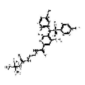 Cc1cc(C(=O)NCCNC(=O)OC(C)(C)C)ncc1C(c1cc(F)ccc1F)S(=O)(=O)c1ccc(F)cc1